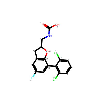 O=C(O)NCC1Cc2cc(F)cc(-c3c(Cl)cccc3Cl)c2O1